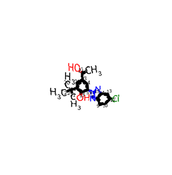 CC(O)c1cc(-n2nc3ccc(Cl)cc3n2)c(O)c(C(C)(C)C)c1